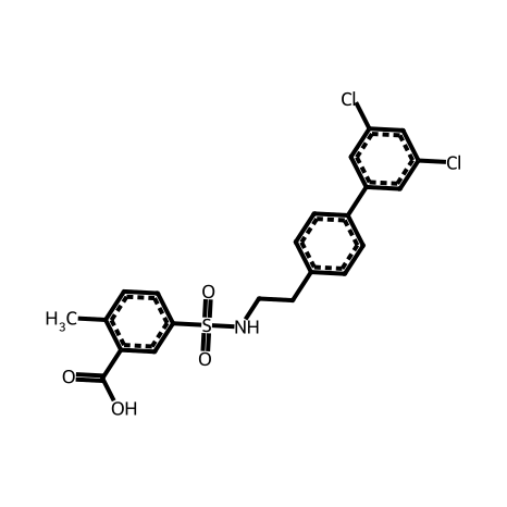 Cc1ccc(S(=O)(=O)NCCc2ccc(-c3cc(Cl)cc(Cl)c3)cc2)cc1C(=O)O